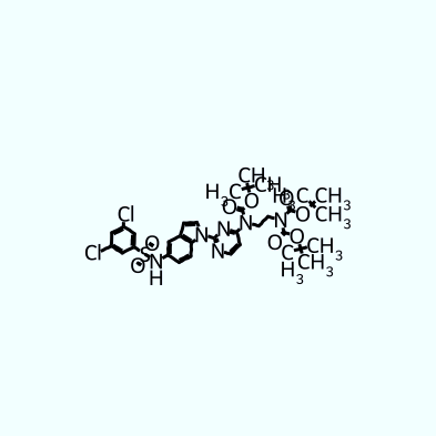 CC(C)(C)OC(=O)N(CCN(C(=O)OC(C)(C)C)c1ccnc(-n2ccc3cc(NS(=O)(=O)c4cc(Cl)cc(Cl)c4)ccc32)n1)C(=O)OC(C)(C)C